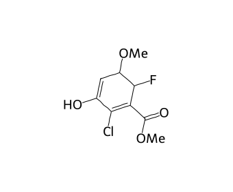 COC(=O)C1=C(Cl)C(O)=CC(OC)C1F